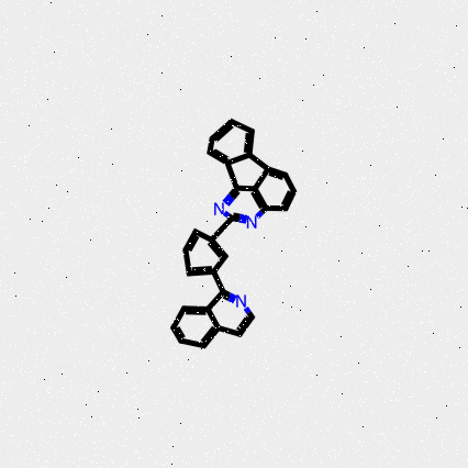 c1cc(-c2nc3c4c(cccc4n2)-c2ccccc2-3)cc(-c2nccc3ccccc23)c1